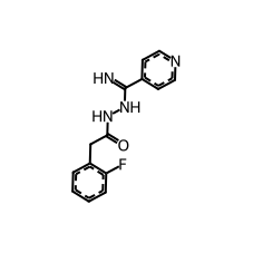 N=C(NNC(=O)Cc1ccccc1F)c1ccncc1